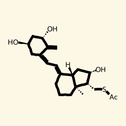 C=C1C(=CC=C2CCC[C@@]3(C)[C@H]2C[C@H](O)[C@@H]3CSC(C)=O)C[C@@H](O)C[C@@H]1O